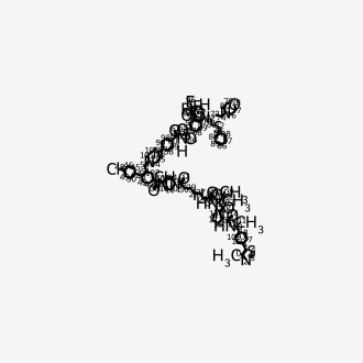 Cc1ncsc1-c1ccc([C@H](C)NC(=O)[C@@H]2CCCN2C(=O)C(NC(=O)CCCCCC(=O)N2CCN(C(=O)C3(C)CCC(c4ccc(Cl)cc4)=C(CN4CCN(c5ccc(C(=O)NS(=O)(=O)c6ccc(N[C@H](CCN7CCOCC7)CSc7ccccc7)c(S(=O)(=O)C(F)(F)F)c6)cc5)CC4)C3)CC2)C(C)(C)C)cc1